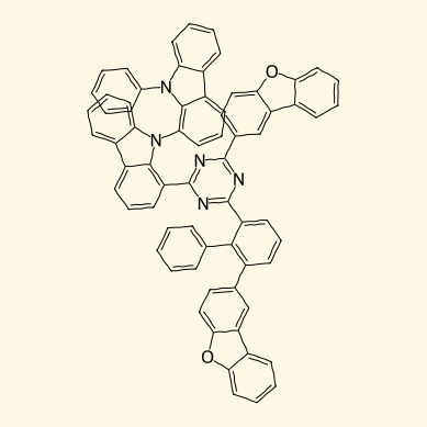 c1ccc(-c2c(-c3ccc4oc5ccccc5c4c3)cccc2-c2nc(-c3ccc4oc5ccccc5c4c3)nc(-c3cccc4c5ccccc5n(-c5cccc6c7ccccc7n(-c7ccccc7)c56)c34)n2)cc1